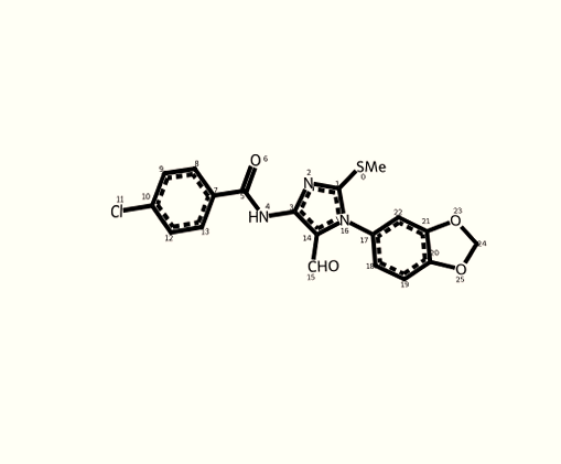 CSc1nc(NC(=O)c2ccc(Cl)cc2)c(C=O)n1-c1ccc2c(c1)OCO2